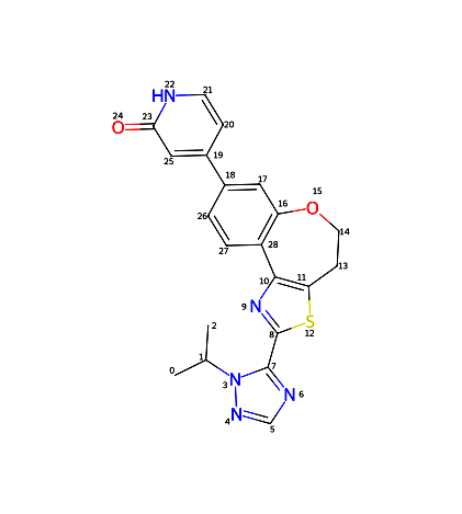 CC(C)n1ncnc1-c1nc2c(s1)CCOc1cc(-c3cc[nH]c(=O)c3)ccc1-2